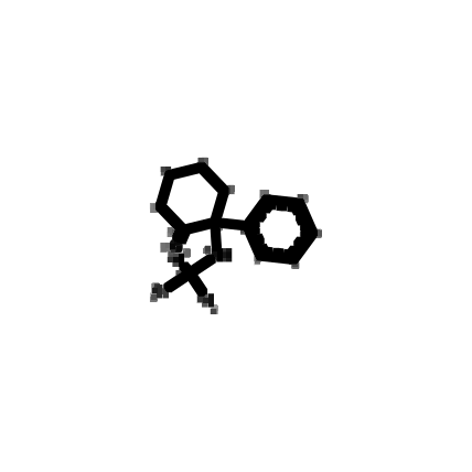 [2H]C([2H])([2H])NC1(c2ccccc2)CCCCC1=O